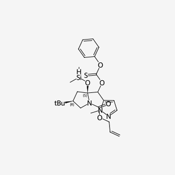 C=CCOC(=O)N1C[C@@H](C(C)(C)C)C[C@]1(O[SiH](C)C)C(OC(=S)Oc1ccccc1)c1ccnn1C